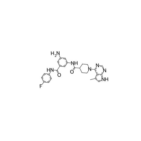 Cc1c[nH]c2ncnc(N3CCC(C(=O)Nc4cc(N)cc(C(=O)Nc5ccc(F)cc5)c4)CC3)c12